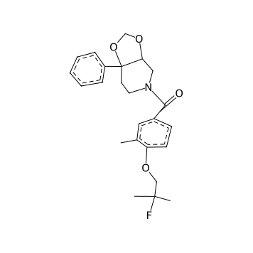 Cc1cc(C(=O)N2CCC3(c4ccccc4)OCOC3C2)ccc1OCC(C)(C)F